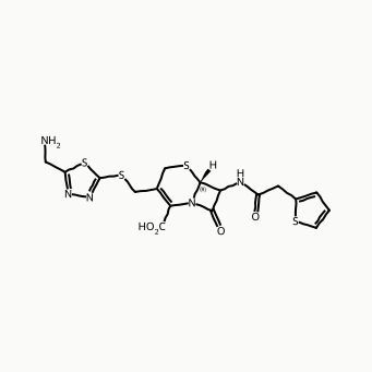 NCc1nnc(SCC2=C(C(=O)O)N3C(=O)C(NC(=O)Cc4cccs4)[C@H]3SC2)s1